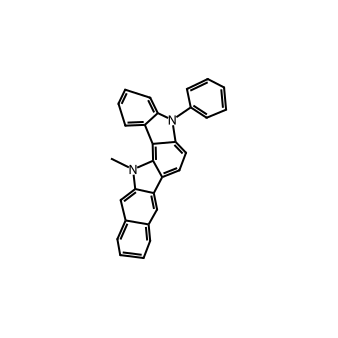 Cn1c2cc3ccccc3cc2c2ccc3c(c4ccccc4n3-c3ccccc3)c21